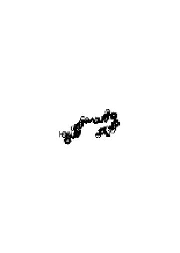 CCOc1cc(OC)ccc1CNCC(=O)N1CCCC(c2cccc(C(=O)N3CCN(CC4CCN(CCOCC(=O)N5CCN(C(=O)c6cc(Cc7n[nH]c(=O)c8ccccc78)ccc6F)CC5)CC4)CC3)c2)C1